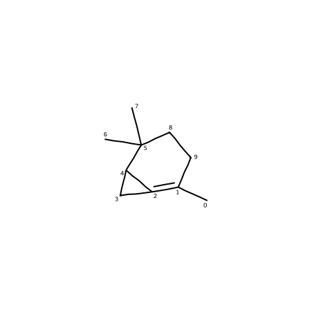 CC1=C2CC2C(C)(C)CC1